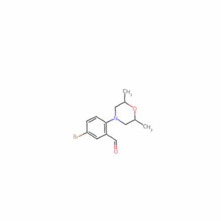 CC1CN(c2ccc(Br)cc2C=O)CC(C)O1